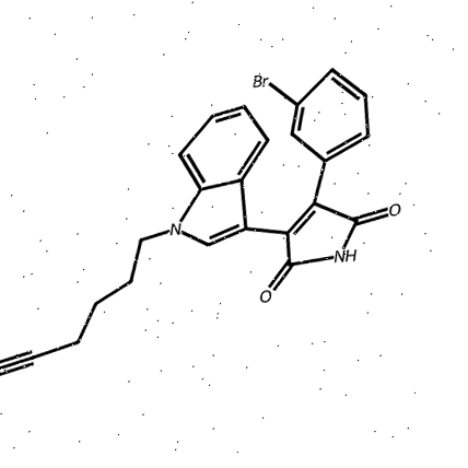 C#CCCCCn1cc(C2=C(c3cccc(Br)c3)C(=O)NC2=O)c2ccccc21